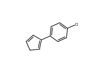 Clc1ccc(C2=[C]CC=C2)cc1